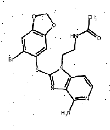 CC(=O)NCCn1c(Sc2cc3c(cc2Br)OCO3)nc2c(N)nccc21